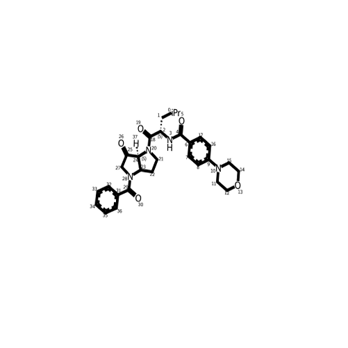 CC(C)C[C@H](NC(=O)c1ccc(N2CCOCC2)cc1)C(=O)N1CCC2[C@H]1C(=O)CN2C(=O)c1ccccc1